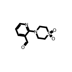 O=Cc1cccnc1N1CCS(=O)(=O)CC1